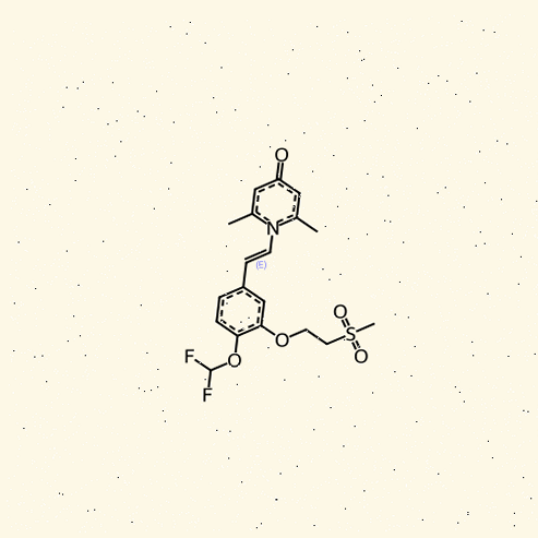 Cc1cc(=O)cc(C)n1/C=C/c1ccc(OC(F)F)c(OCCS(C)(=O)=O)c1